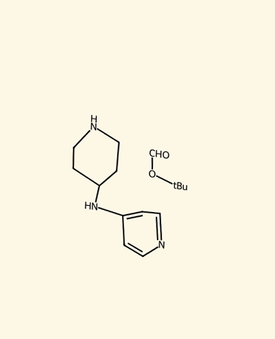 CC(C)(C)OC=O.c1cc(NC2CCNCC2)ccn1